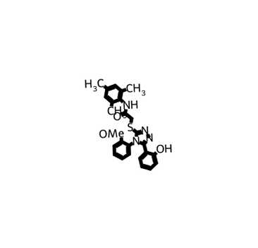 COc1ccccc1-n1c(SCC(=O)Nc2c(C)cc(C)cc2C)nnc1-c1ccccc1O